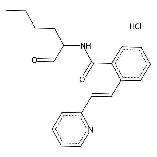 CCCCC(C=O)NC(=O)c1ccccc1/C=C/c1ccccn1.Cl